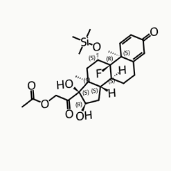 CC(=O)OCC(=O)[C@@]1(O)[C@H](O)C[C@H]2[C@@H]3CCC4=CC(=O)C=C[C@]4(C)[C@@]3(F)[C@@H](O[Si](C)(C)C)C[C@@]21C